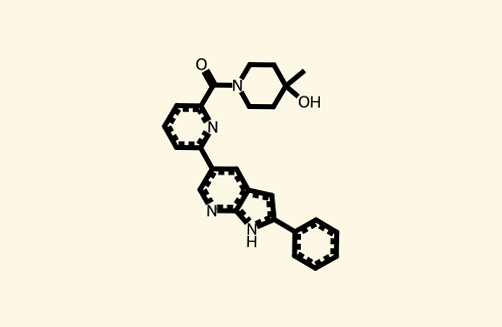 CC1(O)CCN(C(=O)c2cccc(-c3cnc4[nH]c(-c5ccccc5)cc4c3)n2)CC1